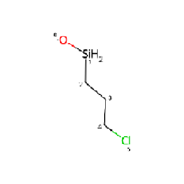 [O][SiH2]CCCCl